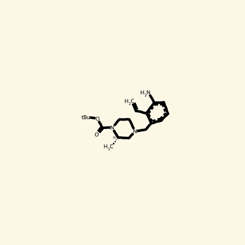 C=Cc1c(N)cccc1CN1CCN(C(=O)OC(C)(C)C)[C@@H](C)C1